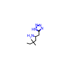 CCC(C)(C)CC(N)Cc1nnn[nH]1